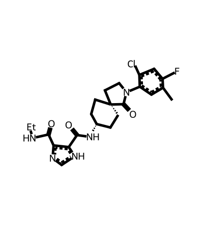 CCNC(=O)c1nc[nH]c1C(=O)N[C@H]1CC[C@@]2(CCN(c3cc(C)c(F)cc3Cl)C2=O)CC1